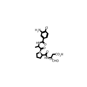 CC(NC(=O)c1ccc(Cl)c(N)c1)C(=O)N1CCCC1C(=O)N[C@H](C=O)CC(=O)O